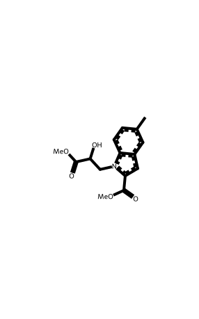 COC(=O)c1cc2cc(C)ccc2n1CC(O)C(=O)OC